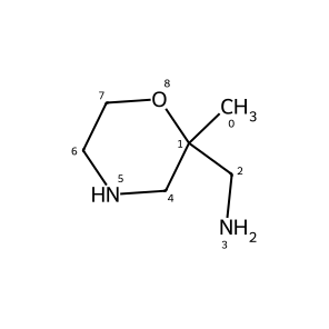 CC1(CN)CNCCO1